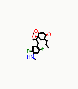 CCCC1CC2(C(C)Cc3cc(F)c(NC)cc3F)OCOC2=CC1=O